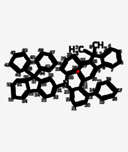 CC1(C)c2ccccc2-c2cc(-c3c(-c4ccccc4)cccc3N(c3ccccc3)c3ccc4c(c3)C(c3ccccc3)(c3ccccc3)c3ccccc3-4)ccc21